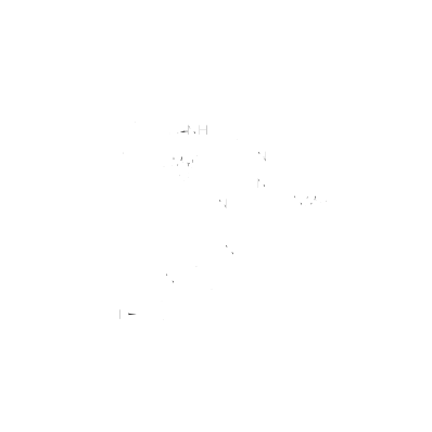 CNc1cc(Nc2cccn([C@@H]3C[C@H]3F)c2=O)nc2c(C(=O)N[C@@H]3CC[C@@]3(C)OC)cnn12